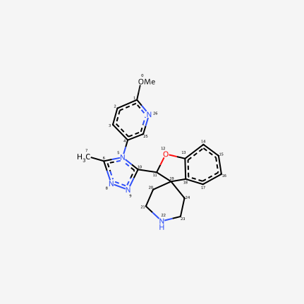 COc1ccc(-n2c(C)nnc2C2Oc3ccccc3C23CCNCC3)cn1